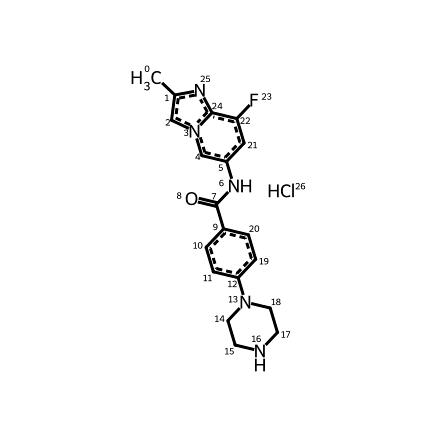 Cc1cn2cc(NC(=O)c3ccc(N4CCNCC4)cc3)cc(F)c2n1.Cl